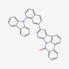 O=c1c2ccccc2c2cccc3c4cc(-c5ccc6cccc(-n7c8ccccc8c8ccccc87)c6c5)ccc4n1c23